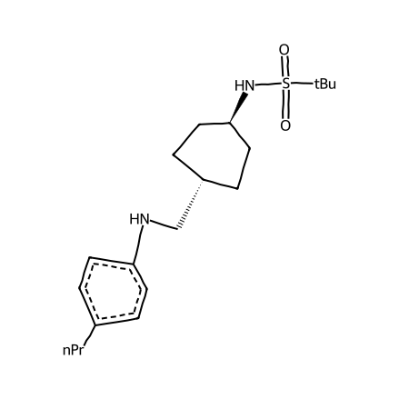 CCCc1ccc(NC[C@H]2CC[C@H](NS(=O)(=O)C(C)(C)C)CC2)cc1